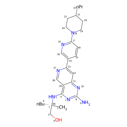 CCCC[C@](C)(CO)Nc1nc(N)nc2cc(-c3ccc(N4CCC(CCC)CC4)nc3)ncc12